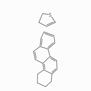 C1=CSCC1.c1ccc2c(c1)ccc1c3c(ccc12)CCCC3